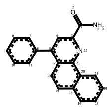 NC(=O)c1cc(-c2ccccc2)c2ccc3ccccc3c2n1